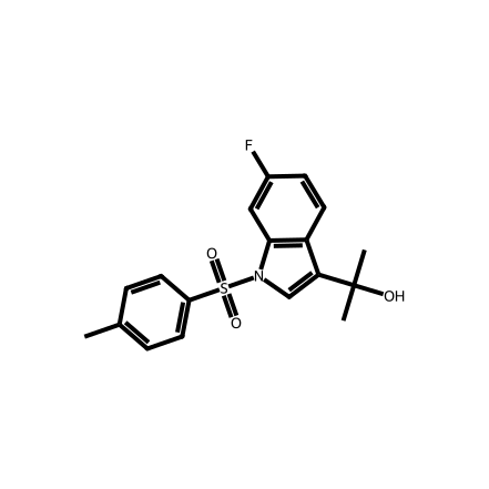 Cc1ccc(S(=O)(=O)n2cc(C(C)(C)O)c3ccc(F)cc32)cc1